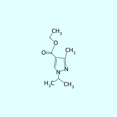 CCOC(=O)c1cn(C(C)C)nc1C